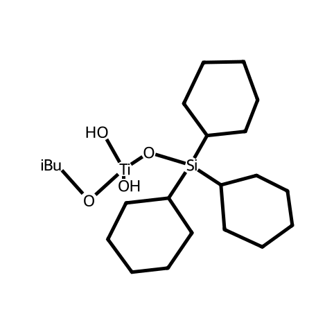 CCC(C)[O][Ti]([OH])([OH])[O][Si](C1CCCCC1)(C1CCCCC1)C1CCCCC1